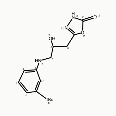 CC(C)(C)c1cccc(NCC(O)Cc2n[nH]c(=O)o2)c1